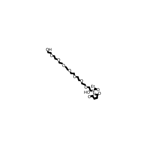 CCC(=O)N(C(O)COCCOCCOCCOCCOCCOCCOCCO)N1C(=O)C=CC1=O